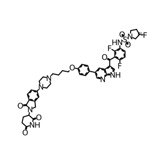 O=C1CCC(N2Cc3cc(N4CCN(CCCCOc5ccc(-c6cnc7[nH]cc(C(=O)c8c(F)ccc(NS(=O)(=O)N9CC[C@@H](F)C9)c8F)c7c6)cc5)CC4)ccc3C2=O)C(=O)N1